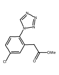 COC(=O)Cc1cc(Cl)ccc1-n1cnnn1